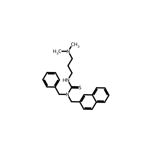 CN(C)CCCNC(=S)N(Cc1ccccc1)Cc1ccc2ccccc2c1